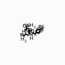 CC(C)(NC(=O)[C@H](CCCN)NC(=O)Cc1ccc(C(F)(F)F)cc1)C(N)=O